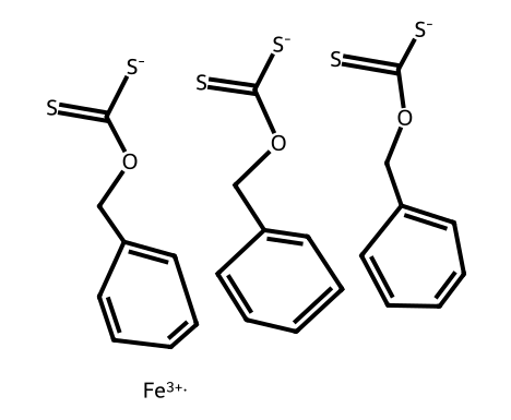 S=C([S-])OCc1ccccc1.S=C([S-])OCc1ccccc1.S=C([S-])OCc1ccccc1.[Fe+3]